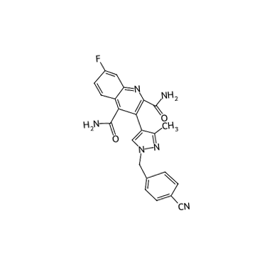 Cc1nn(Cc2ccc(C#N)cc2)cc1-c1c(C(N)=O)nc2cc(F)ccc2c1C(N)=O